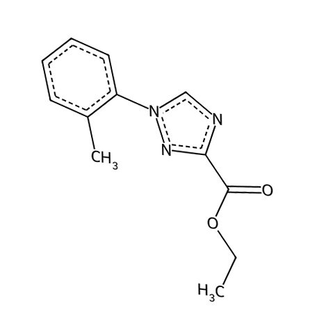 CCOC(=O)c1ncn(-c2ccccc2C)n1